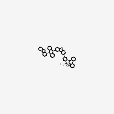 CC1(C)c2ccc(-c3ccc4oc5ccc(-c6c7ccccc7c(-c7cccc8c7sc7ccccc78)c7ccccc67)cc5c4c3)cc2-c2c1c1ccccc1c1ccccc21